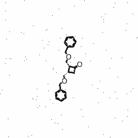 O=C1C[C@H](COCc2ccccc2)[C@H]1COCc1ccccc1